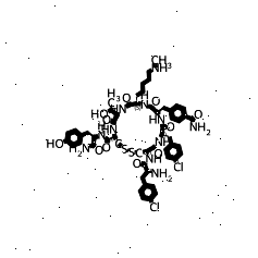 CNCCCCC[C@@H]1NC(=O)[C@@H](Cc2ccc(C(N)=O)cc2)NC(=O)[C@H](Cc2ccc(Cl)cc2)NC(=O)[C@H](NC(=O)[C@@H](N)Cc2ccc(Cl)cc2)CSSC[C@@H](C(=O)N[C@H](Cc2ccc(O)cc2)C(N)=O)NC(=O)[C@H]([C@@H](C)O)NC1=O